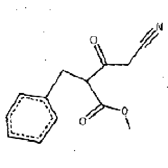 COC(=O)C(Cc1ccccc1)C(=O)CC#N